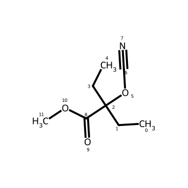 CCC(CC)(OC#N)C(=O)OC